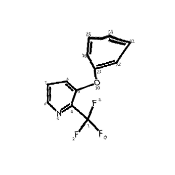 FC(F)(F)c1ncccc1Oc1cc[c]cc1